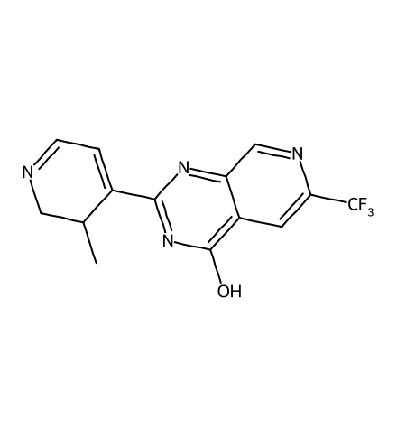 CC1CN=CC=C1c1nc(O)c2cc(C(F)(F)F)ncc2n1